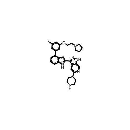 Fc1cc(OCCN2CCCC2)cc(-c2cccc3[nH]c(-c4n[nH]c5cnc(C6CCNCC6)cc45)cc23)c1